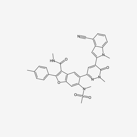 CNC(=O)c1c(-c2ccc(C)cc2)oc2cc(N(C)S(C)(=O)=O)c(-c3cc(-c4cc5c(C#N)cccc5n4C)c(=O)n(C)n3)cc12